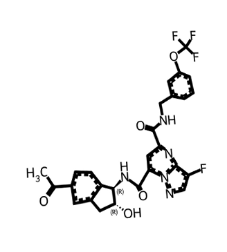 CC(=O)c1ccc2c(c1)C[C@@H](O)[C@@H]2NC(=O)c1cc(C(=O)NCc2cccc(OC(F)(F)F)c2)nc2c(F)cnn12